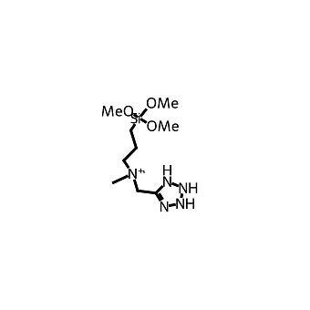 CO[Si](CCC[N+](C)(C)CC1=NNNN1)(OC)OC